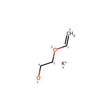 C=COCC[O-].[K+]